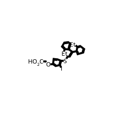 CCc1ccccc1C(=CCSc1ccc(OCC(=O)O)cc1I)c1ccccc1CC